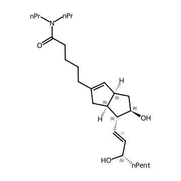 CCCCC[C@H](O)/C=C/[C@@H]1[C@H]2CC(CCCCC(=O)N(CCC)CCC)=C[C@H]2C[C@H]1O